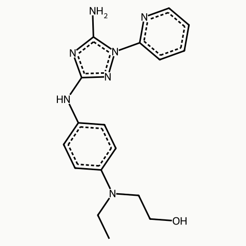 CCN(CCO)c1ccc(Nc2nc(N)n(-c3ccccn3)n2)cc1